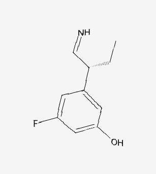 CC[C@@H](C=N)c1cc(O)cc(F)c1